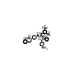 C=C(NC(Cc1cc(C(F)(F)F)cc(C(F)(F)F)c1)c1nc2ccccc2n1CC1CCN(N)CC1)N1CCC(N2CCc3ccccc3NC2=O)CC1